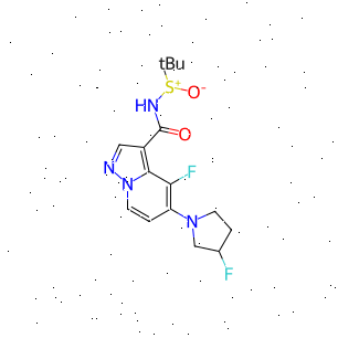 CC(C)(C)[S+]([O-])NC(=O)c1cnn2ccc(N3CCC(F)C3)c(F)c12